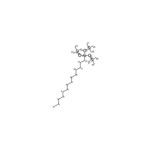 CCCCCCCCCCCCCC[Si](O[Si](C)(C)C)(O[Si](C)(C)C)O[Si](C)(C)C